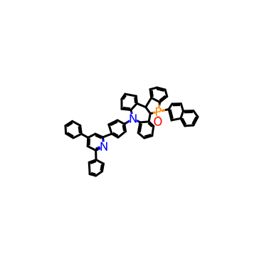 O=P1(c2ccc3ccccc3c2)c2ccccc2C2c3ccccc3N(c3ccc(-c4cc(-c5ccccc5)cc(-c5ccccc5)n4)cc3)c3ccccc3C21